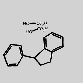 O=C(O)O.O=C(O)O.c1ccc(C2CCc3ccccc32)cc1